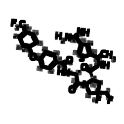 C[C@@H](NC(=O)[C@@H]1C[C@](F)(CF)CN1C(=O)CNC(=O)c1ccc(Oc2ccc(C(F)(F)F)cc2)cc1)c1cc(C(=N)N)cs1